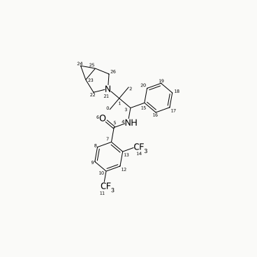 CC(C)(C(NC(=O)c1ccc(C(F)(F)F)cc1C(F)(F)F)c1ccccc1)N1CC2CC2C1